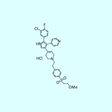 COCCS(=O)(=O)c1ccc(CCN2CC=C(c3c[nH]c(-c4ccc(F)c(Cl)c4)c3-c3ccncc3)CC2)cc1.Cl